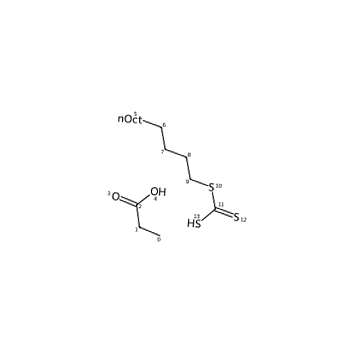 CCC(=O)O.CCCCCCCCCCCCSC(=S)S